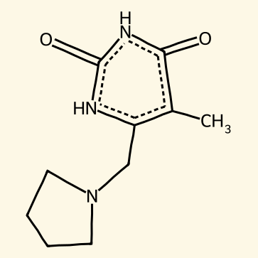 Cc1c(CN2CCCC2)[nH]c(=O)[nH]c1=O